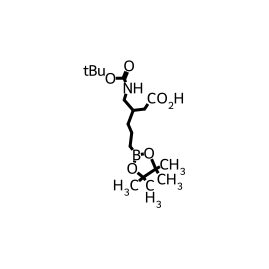 CC(C)(C)OC(=O)NCC(CCCB1OC(C)(C)C(C)(C)O1)CC(=O)O